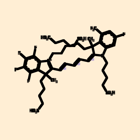 CC1(CCCCS(=O)(=O)O)C(/C=C/C=C/C=C2/N(CCCCS(=O)(=O)O)c3cc(F)cc(C(F)(F)F)c3C2(C)CCCCCC(=O)O)=[N+](CCCCS(=O)(=O)O)c2c(F)c(F)c(F)c(F)c21